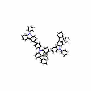 CC1(C)c2ccccc2-c2cc3c4cc(-c5ccc(N(c6ccc(-c7ccc8c(c7)c7ccccc7n8-c7ccccc7)cc6)c6cccc7c6C(C)(C)c6ccccc6-7)cc5)ccc4n(-c4ccccc4)c3cc21